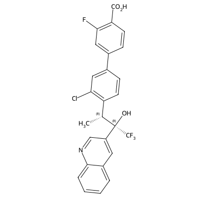 C[C@H](c1ccc(-c2ccc(C(=O)O)c(F)c2)cc1Cl)[C@@](O)(c1cnc2ccccc2c1)C(F)(F)F